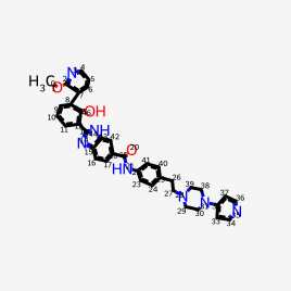 COc1ncccc1-c1cccc(-c2nc3ccc(C(=O)Nc4ccc(CCN5CCN(c6ccncc6)CC5)cc4)cc3[nH]2)c1O